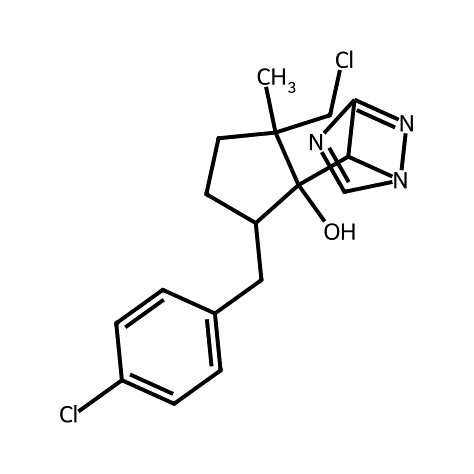 CC1(CCl)CCC(Cc2ccc(Cl)cc2)C1(O)C1c2ncn1n2